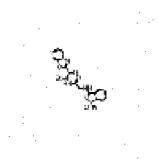 CC[C@H](NC(=O)CNC1=NS(=O)(=O)c2ccccc21)C(=O)c1nc2ccccc2o1